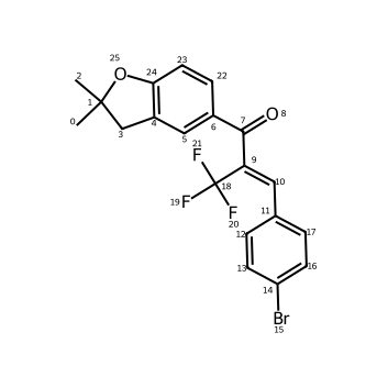 CC1(C)Cc2cc(C(=O)C(=Cc3ccc(Br)cc3)C(F)(F)F)ccc2O1